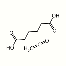 C=C=O.O=C(O)CCCCC(=O)O